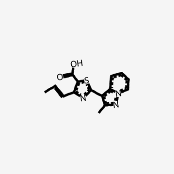 CC=Cc1nc(-c2c(C)nn3ccccc23)sc1C(=O)O